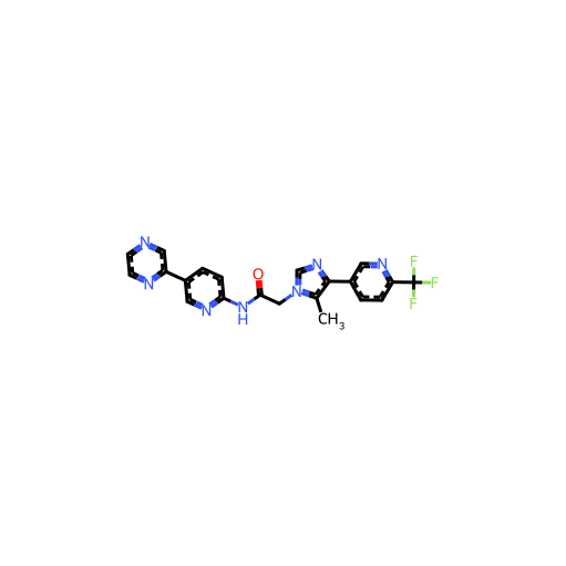 Cc1c(-c2ccc(C(F)(F)F)nc2)ncn1CC(=O)Nc1ccc(-c2cnccn2)cn1